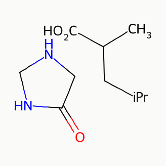 CC(C)CC(C)C(=O)O.O=C1CNCN1